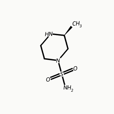 C[C@H]1CN(S(N)(=O)=O)CCN1